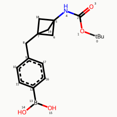 CC(C)(C)OC(=O)NC12CC(Cc3ccc(B(O)O)cc3)(C1)C2